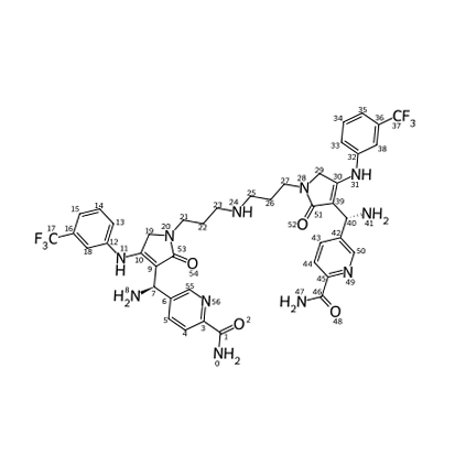 NC(=O)c1ccc([C@@H](N)C2=C(Nc3cccc(C(F)(F)F)c3)CN(CCCNCCCN3CC(Nc4cccc(C(F)(F)F)c4)=C([C@H](N)c4ccc(C(N)=O)nc4)C3=O)C2=O)cn1